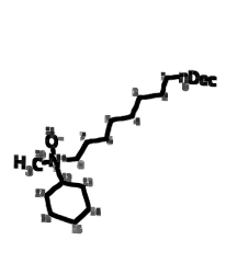 CCCCCCCCCCCCCCCCCC[N+](C)([O-])C1CCCCC1